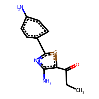 CCC(=O)c1sc(-c2ccc(N)cc2)nc1N